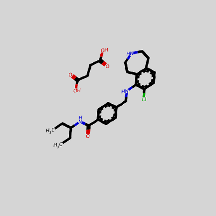 CCC(CC)NC(=O)c1ccc(CNc2c(Cl)ccc3c2CCNCC3)cc1.O=C(O)CCC(=O)O